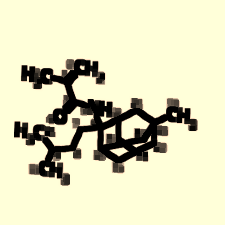 C=C(C)C(=O)NC1(CCC(C)C)C2CC3CC1CC(C)(C3)C2